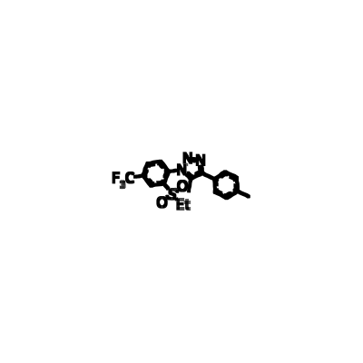 CCS(=O)(=O)c1cc(C(F)(F)F)ccc1-n1nnc(-c2ccc(C)cc2)c1C